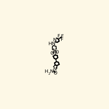 NC(=O)N1Cc2ccc(-c3ccc(S(=O)(=O)N4CCC(Nc5ccc(C(F)(F)F)cn5)CC4)cc3)cc2C1